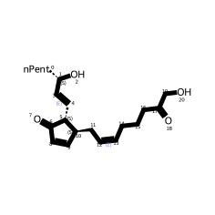 CCCCC[C@H](O)/C=C/[C@H]1C(=O)C=C[C@@H]1C/C=C\CCCC(=O)CO